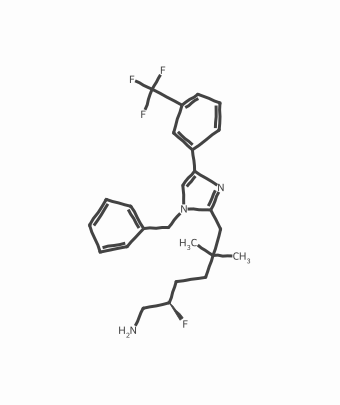 CC(C)(CC[C@@H](F)CN)Cc1nc(-c2cccc(C(F)(F)F)c2)cn1Cc1ccccc1